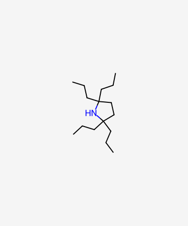 CCCC1(CCC)CCC(CCC)(CCC)N1